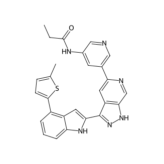 CCC(=O)Nc1cncc(-c2cc3c(-c4cc5c(-c6ccc(C)s6)cccc5[nH]4)n[nH]c3cn2)c1